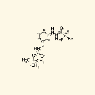 CC(C)(C)OC(=O)NCc1cccc(NNC(=O)C(F)(F)F)c1